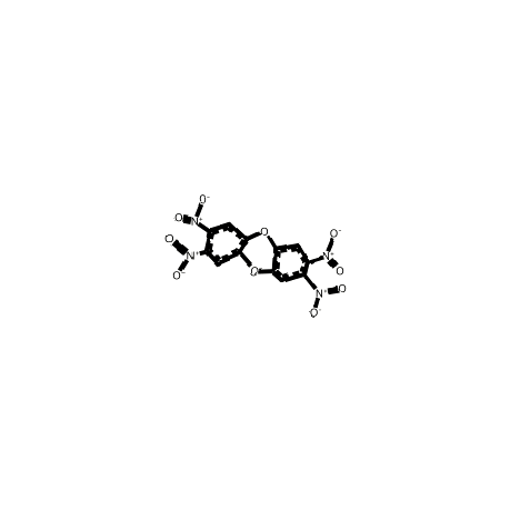 O=[N+]([O-])c1cc2c(cc1[N+](=O)[O-])Oc1cc([N+](=O)[O-])c([N+](=O)[O-])cc1O2